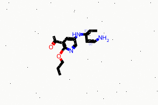 C/C=C(\C=C/N)Nc1cnc(OCCC)c(C(C)=O)c1